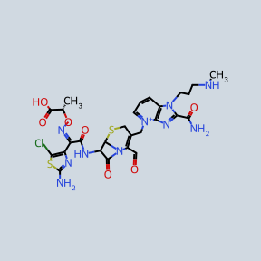 CNCCCn1c(C(N)=O)nc2c1ccc[n+]2CC1=C(C=O)N2C(=O)C(NC(=O)/C(=N\O[C@@H](C)C(=O)O)c3nc(N)sc3Cl)C2SC1